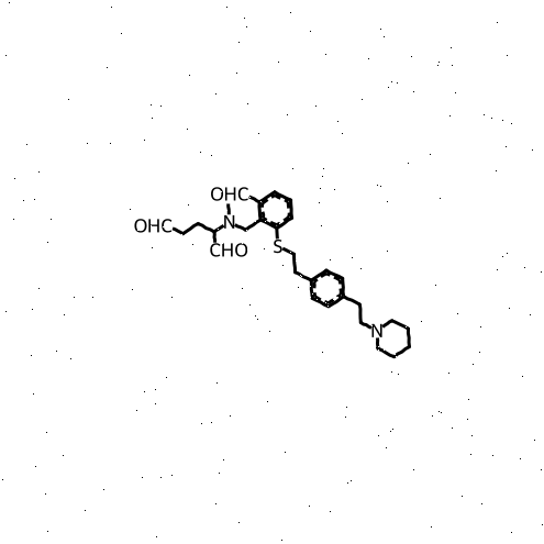 CN(Cc1c(C=O)cccc1SCCc1ccc(CCN2CCCCC2)cc1)C(C=O)CCC=O